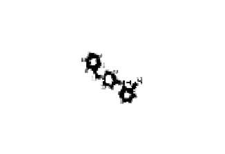 N#Cc1ccccc1NC1CCN(Cc2ccccc2)CC1